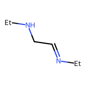 CCN=CCNCC